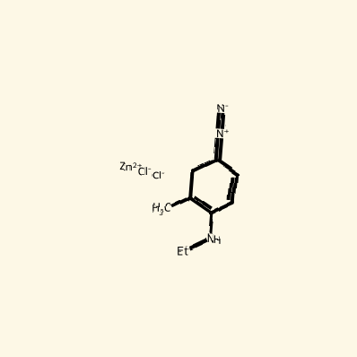 CCNC1=C(C)CC(=[N+]=[N-])C=C1.[Cl-].[Cl-].[Zn+2]